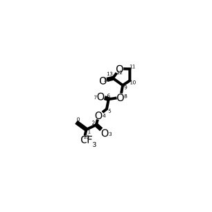 C=C(C(=O)OCC(=O)OC1CCOC1=O)C(F)(F)F